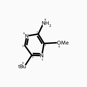 COc1nc(C(C)(C)C)cnc1N